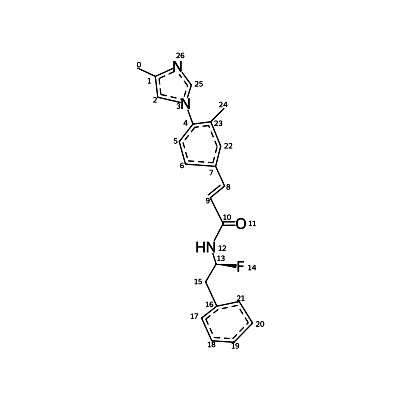 Cc1cn(-c2ccc(/C=C/C(=O)N[C@@H](F)Cc3ccccc3)cc2C)cn1